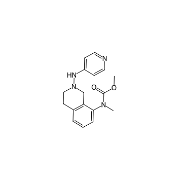 COC(=O)N(C)c1cccc2c1CN(Nc1ccncc1)CC2